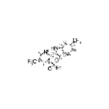 CCS(=O)(=O)c1cc(C(F)(F)F)cnc1-c1cc2ncc(C(F)(F)F)cc2[nH]1